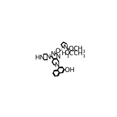 CC(C)(C)OC(=O)N1CCC[C@H]1COc1nc2c(c(N3CCNCC3)n1)CCN(c1cc(O)cc3ccccc13)C2